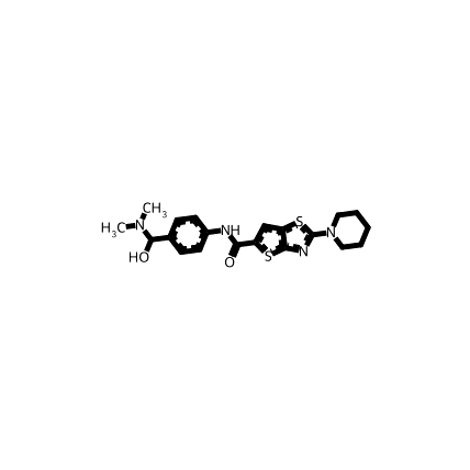 CN(C)C(O)c1ccc(NC(=O)c2cc3sc(N4CCCCC4)nc3s2)cc1